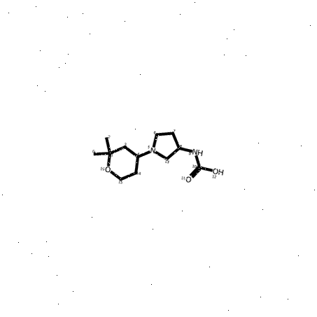 CC1(C)CC(N2CCC(NC(=O)O)C2)CCO1